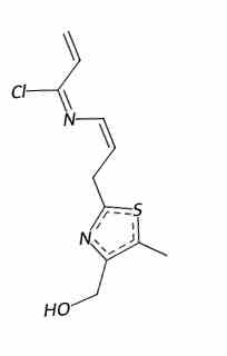 C=C/C(Cl)=N\C=C/Cc1nc(CO)c(C)s1